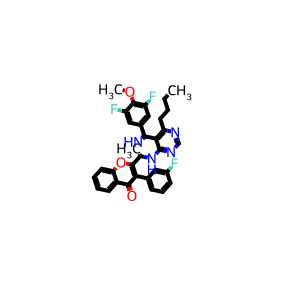 CCCCc1ncnc(NC(C)c2oc3ccccc3c(=O)c2-c2cccc(F)c2)c1C(=N)c1cc(F)c(OC)c(F)c1